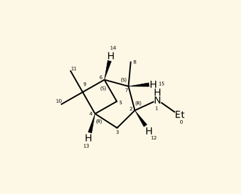 CCN[C@@H]1C[C@H]2C[C@@H]([C@@H]1C)C2(C)C